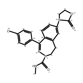 CNC(=O)N1CCc2cc(N3CCOC3=O)ccc2C(c2ccc(Cl)cc2)=N1